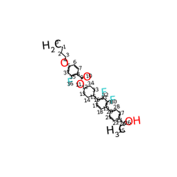 C=CCCOc1ccc(C(=O)OC2CCC(c3ccc(-c4ccc(C(C)O)cc4)c(F)c3F)CC2)c(F)c1